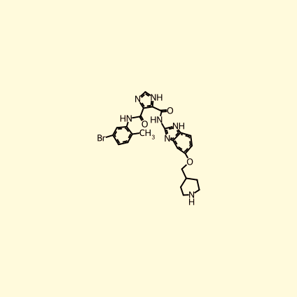 Cc1ccc(Br)cc1NC(=O)c1nc[nH]c1C(=O)Nc1nc2cc(OCC3CCNCC3)ccc2[nH]1